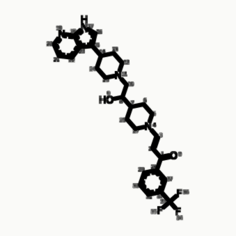 O=C(C=CN1CCC(C(O)CN2CCC(c3c[nH]c4ncccc34)CC2)CC1)c1cccc(C(F)(F)F)c1